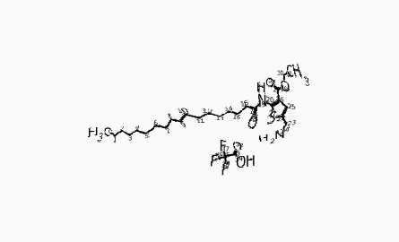 CCCCCCCCCCCCCCCCCC(=O)Nc1sc(CN)cc1C(=O)OCC.O=C(O)C(F)(F)F